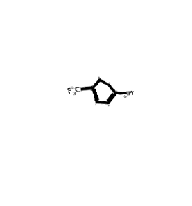 CC(C)C1=CC=C(C(F)(F)F)CC1